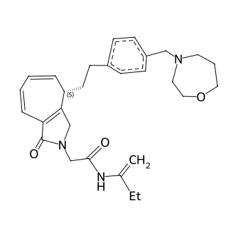 C=C(CC)NC(=O)CN1CC2=C(C=CC=C[C@@H]2CCc2ccc(CN3CCCOCC3)cc2)C1=O